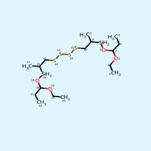 CCOC(CC)O[SiH2]C(C)CSSSSCC(C)[SiH2]OC(CC)OCC